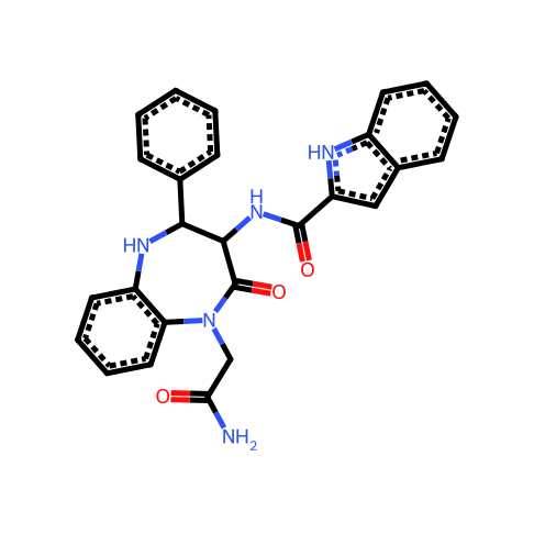 NC(=O)CN1C(=O)C(NC(=O)c2cc3ccccc3[nH]2)C(c2ccccc2)Nc2ccccc21